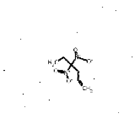 [CH2]CC(CC=C)([N+](=O)[O-])[N+](=O)[O-]